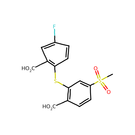 CS(=O)(=O)c1ccc(C(=O)O)c(Sc2ccc(F)cc2C(=O)O)c1